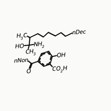 CCCCCCCCCC(=O)c1ccc(O)c(C(=O)O)c1.CCCCCCCCCCCCCCCCC(C)C(C)(N)O